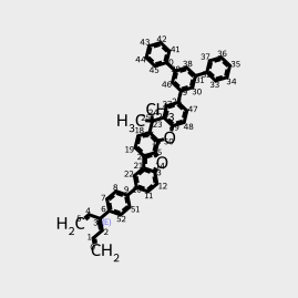 C=C/C=C(\C=C)c1ccc(-c2ccc3oc4c5c(ccc4c3c2)C(C)(C)c2cc(-c3cc(-c4ccccc4)cc(-c4ccccc4)c3)ccc2O5)cc1